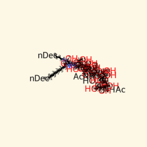 CCCCCCCCCCCCC/C=C/[C@@H](O)[C@H](CO[C@@H]1OC(CO)[C@@H](O[C@@H]2OC(CO)[C@H](O[C@@H]3OC(CO)[C@H](O)[C@H](O[C@@H]4OC(CO)[C@H](O)[C@H](O[C@]5(C(=O)O)CC(O)[C@@H](NC(C)=O)C([C@H](O)[C@H](O)CO)O5)C4O)C3NC(C)=O)[C@H](O)C2O)[C@H](O)C1O)NC(=O)CCCCCCCCCCCCCCCCCCC